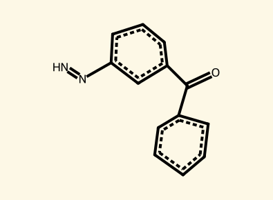 N=Nc1cccc(C(=O)c2ccccc2)c1